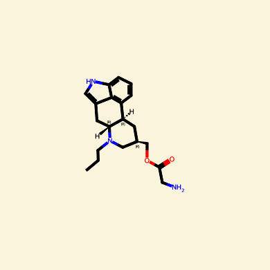 CCCN1C[C@H](COC(=O)CN)C[C@@H]2c3cccc4[nH]cc(c34)C[C@H]21